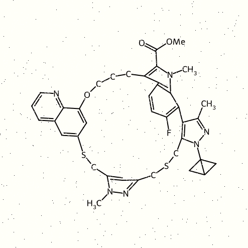 COC(=O)c1c2c3ccc(F)c(c3n1C)-c1c(C)nn(C34CC3C4)c1CSCc1cc(n(C)n1)CSc1cc(c3ncccc3c1)OCCC2